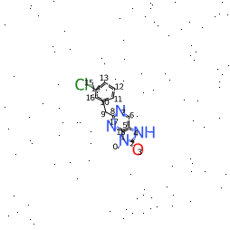 Cn1c(=O)[nH]c2cnc(Cc3cccc(Cl)c3)nc21